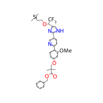 COc1cc(OCC(C)(C)C(=O)OCc2ccccc2)ccc1-c1ccc(-c2nc(C(OCC[Si](C)(C)C)C(F)(F)F)c[nH]2)cn1